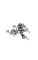 CC/C(=C\C(=O)OC)c1cc([Si](C)(C)C)nc(OC)c1COCOC